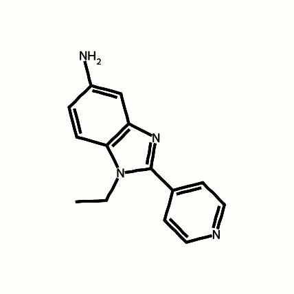 CCn1c(-c2ccncc2)nc2cc(N)ccc21